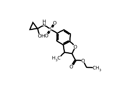 CCOC(=O)C1Oc2ccc(S(=O)(=O)NC3(O)CC3)cc2C1C